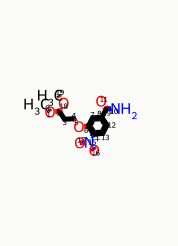 COC(CCOc1cc(C(N)=O)ccc1[N+](=O)[O-])OC